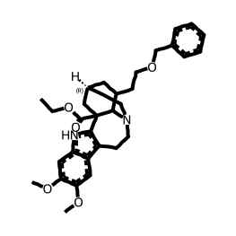 CCOC(=O)C12C[C@H]3CC(CCOCc4ccccc4)C1N(CCc1c2[nH]c2cc(OC)c(OC)cc12)C3